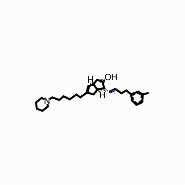 Cc1cccc(CC/C=C/[C@@H]2[C@H]3CC(CCCCCCN4CCCCC4)=C[C@H]3C[C@H]2O)c1